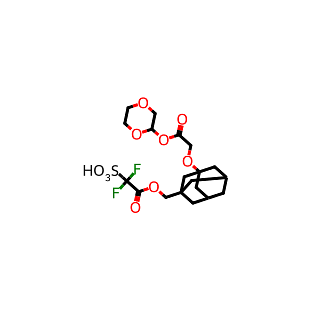 O=C(COC12CC3CC(CC(COC(=O)C(F)(F)S(=O)(=O)O)(C3)C1)C2)OC1COCCO1